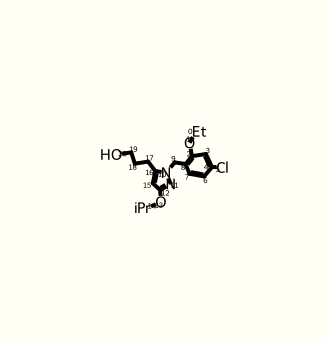 CCOc1cc(Cl)ccc1Cn1nc(OC(C)C)cc1CCCO